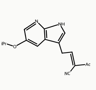 CC(=O)/C(C#N)=C/Cc1c[nH]c2ncc(OC(C)C)cc12